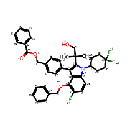 CC(C)(CO)c1c(-c2ccc(COC(=O)c3ccccc3)cc2)c2c(OCc3ccccc3)c(F)ccc2n1C1CCC(F)(F)CC1